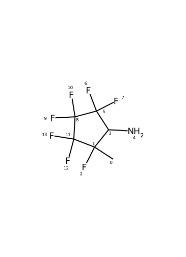 CC1(F)C(N)C(F)(F)C(F)(F)C1(F)F